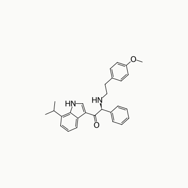 COc1ccc(CCN[C@H](C(=O)c2c[nH]c3c(C(C)C)cccc23)c2ccccc2)cc1